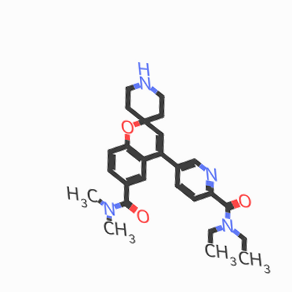 CCN(CC)C(=O)c1ccc(C2=CC3(CCNCC3)Oc3ccc(C(=O)N(C)C)cc32)cn1